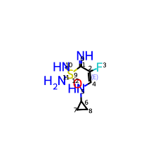 N=C(/C(F)=C\NC1CC1)S(=N)(N)=O